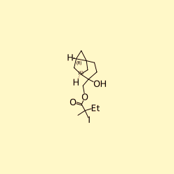 CCC(C)(I)C(=O)OCC1(O)CCC23C[C@@H]1C[C@@H]2C3